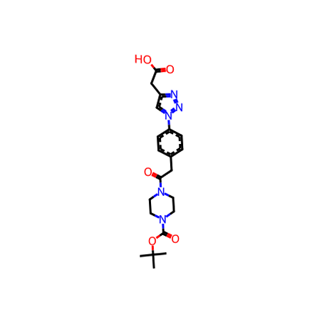 CC(C)(C)OC(=O)N1CCN(C(=O)Cc2ccc(-n3cc(CC(=O)O)nn3)cc2)CC1